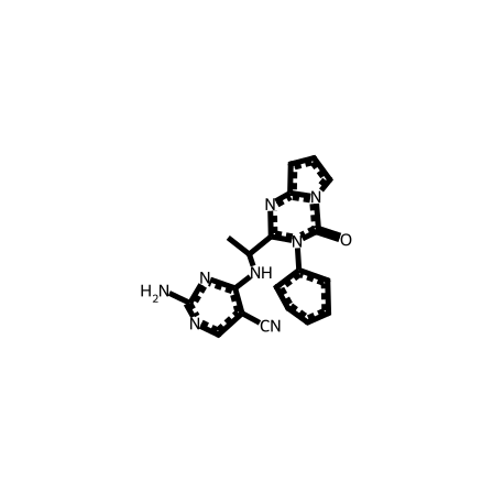 CC(Nc1nc(N)ncc1C#N)c1nc2cccn2c(=O)n1-c1ccccc1